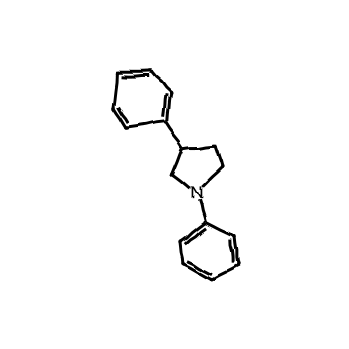 c1ccc(C2CCN(c3ccccc3)C2)cc1